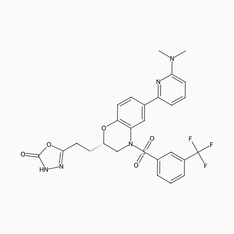 CN(C)c1cccc(-c2ccc3c(c2)N(S(=O)(=O)c2cccc(C(F)(F)F)c2)C[C@H](CCc2n[nH]c(=O)o2)O3)n1